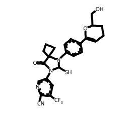 N#Cc1ncc(N2C(=O)C3(CCC3)N(c3ccc(C4=CCCC(CO)O4)cc3)C2S)cc1C(F)(F)F